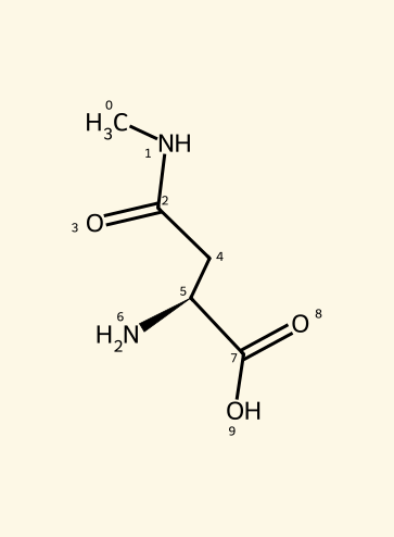 CNC(=O)C[C@H](N)C(=O)O